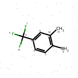 Bc1ccc(C(F)(F)F)cc1C